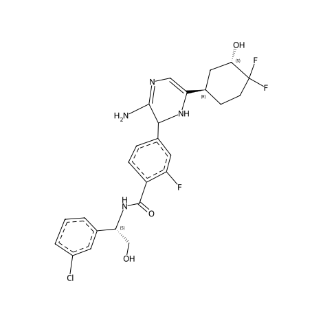 NC1=NC=C([C@@H]2CCC(F)(F)[C@@H](O)C2)NC1c1ccc(C(=O)N[C@H](CO)c2cccc(Cl)c2)c(F)c1